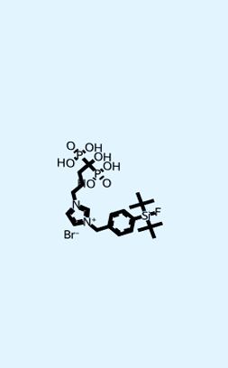 CC(C)(C)[Si](F)(c1ccc(C[n+]2ccn(CCCC(O)(P(=O)(O)O)P(=O)(O)O)c2)cc1)C(C)(C)C.[Br-]